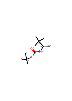 C[C@@H](NC(=O)OC(C)(C)C)C(C)(C)C